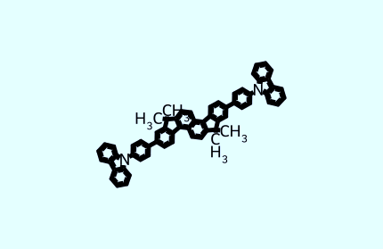 CC1(C)c2cc(-c3ccc(-n4c5ccccc5c5ccccc54)cc3)ccc2-c2c1ccc1c3c(ccc21)C(C)(C)c1cc(-c2ccc(-n4c5ccccc5c5ccccc54)cc2)ccc1-3